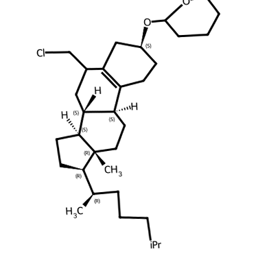 CC(C)CCC[C@@H](C)[C@H]1CC[C@H]2[C@@H]3CC(CCl)C4=C(CC[C@H](OC5CCCCO5)C4)[C@H]3CC[C@]12C